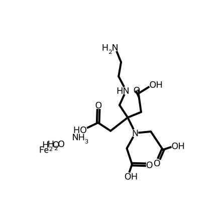 N.NCCNCC(CC(=O)O)(CC(=O)O)N(CC(=O)O)CC(=O)O.O.O.[Fe]